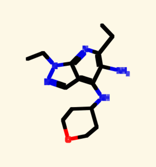 CCc1nc2c(cnn2CC)c(NC2CCOCC2)c1N